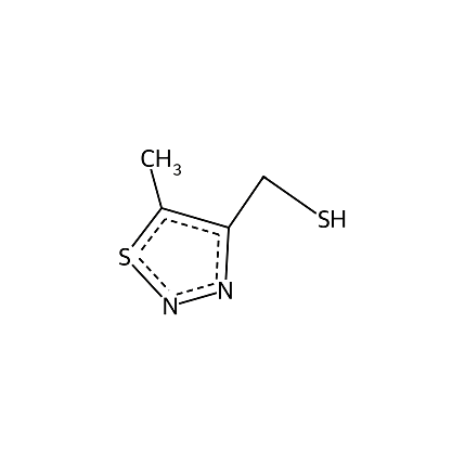 Cc1snnc1CS